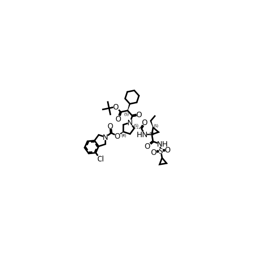 CC[C@H]1C[C@]1(NC(=O)[C@@H]1C[C@@H](OC(=O)N2Cc3cccc(Cl)c3C2)CN1C(=O)[C@@H](C(=O)OC(C)(C)C)C1CCCCC1)C(=O)NS(=O)(=O)C1CC1